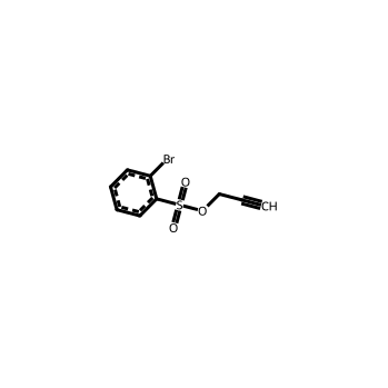 C#CCOS(=O)(=O)c1ccccc1Br